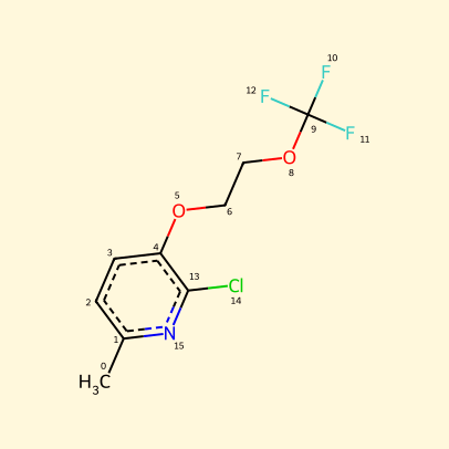 Cc1ccc(OCCOC(F)(F)F)c(Cl)n1